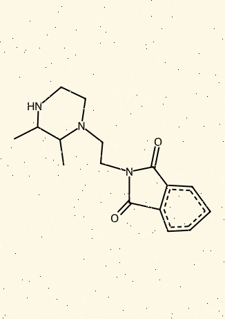 CC1NCCN(CCN2C(=O)c3ccccc3C2=O)C1C